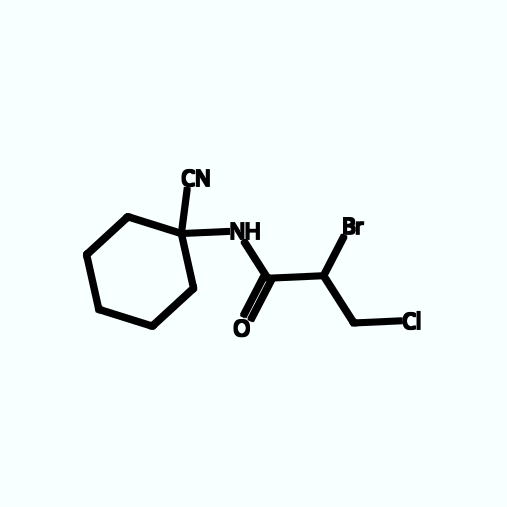 N#CC1(NC(=O)C(Br)CCl)CCCCC1